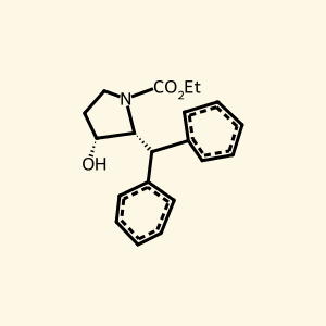 CCOC(=O)N1CC[C@@H](O)[C@H]1C(c1ccccc1)c1ccccc1